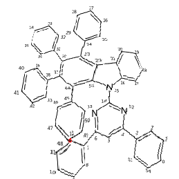 c1ccc(-c2cc(-c3ccccc3)nc(-n3c4ccccc4c4c(-c5ccccc5)c(-c5ccccc5)c(-c5ccccc5)c(-c5ccccc5)c43)n2)cc1